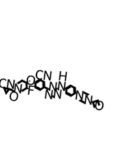 N#Cc1cc(-c2ncnc(Nc3ccc(N4CCN(C5COC5)CC4)cc3)n2)ccc1O[C@H]1CCN(C(=O)C2(C#N)CC2)C[C@@H]1F